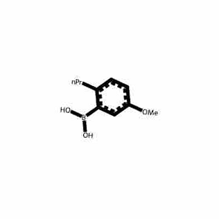 CCCc1ccc(OC)cc1B(O)O